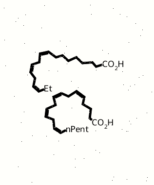 CC/C=C\C/C=C\C/C=C\CCCCCCCC(=O)O.CCCCC/C=C\C/C=C\C/C=C\C/C=C\CCCC(=O)O